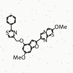 COc1cc(OCc2csc(-c3cc[c]cc3)n2)c2cc(-c3cn4cc(OC)sc4n3)oc2c1